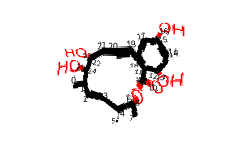 CC1/C=C\[C@@H](C)C(C)OC(=O)c2c(O)cc(O)cc2/C=C/CC(O)C1O